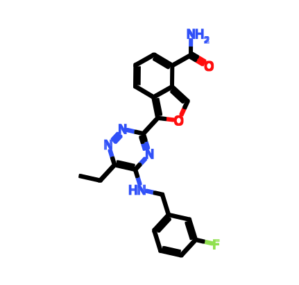 CCc1nnc(-c2occ3c(C(N)=O)cccc23)nc1NCc1cccc(F)c1